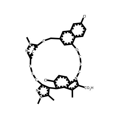 Cc1c(C(=O)O)n2c3ccc(Cl)c(c13)-c1c(nn(C)c1C)CSCc1cc(n(C)n1)CCc1cc(c3ccc(Cl)cc3c1)OCCC2